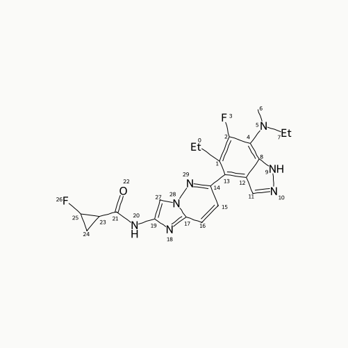 CCc1c(F)c(N(C)CC)c2[nH]ncc2c1-c1ccc2nc(NC(=O)C3CC3F)cn2n1